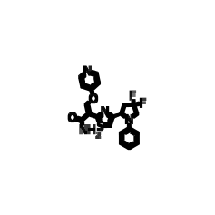 NC(=O)C(=COc1ccncc1)c1nc([C@H]2CC(F)(F)CN2c2ccccc2)cs1